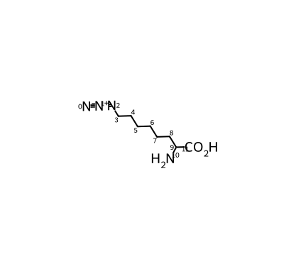 [N-]=[N+]=NCCCCCCC(N)C(=O)O